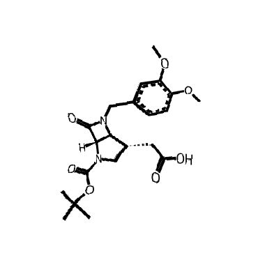 COc1ccc(CN2C(=O)[C@@H]3C2[C@H](CC(=O)O)CN3C(=O)OC(C)(C)C)cc1OC